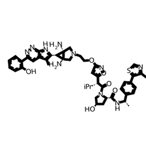 Cc1ncsc1-c1ccc([C@H](C)NC(=O)[C@@H]2C[C@@H](O)CN2C(=O)[C@@H](c2cc(OCCN3C[C@@]4(N)[C@H](c5[nH]c6nnc(-c7ccccc7O)cc6c5C)[C@@]4(N)C3)no2)C(C)C)cc1